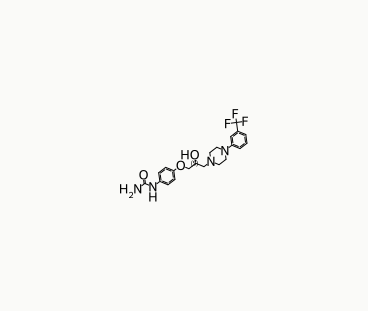 NC(=O)Nc1ccc(OC[C@@H](O)CN2CCN(c3cccc(C(F)(F)F)c3)CC2)cc1